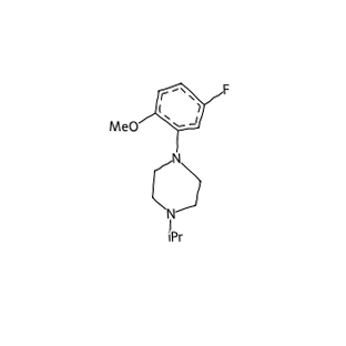 COc1ccc(F)cc1N1CCN(C(C)C)CC1